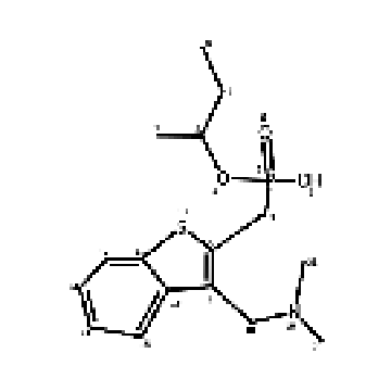 CCC(C)OP(=O)(O)Cc1sc2ccccc2c1CN(C)C